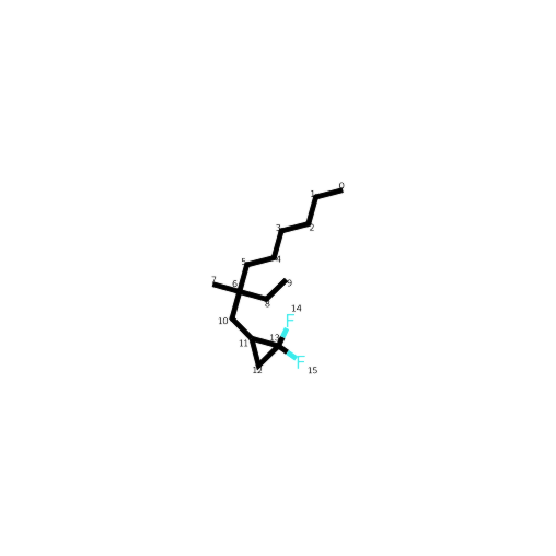 CCCCCCC(C)(CC)CC1CC1(F)F